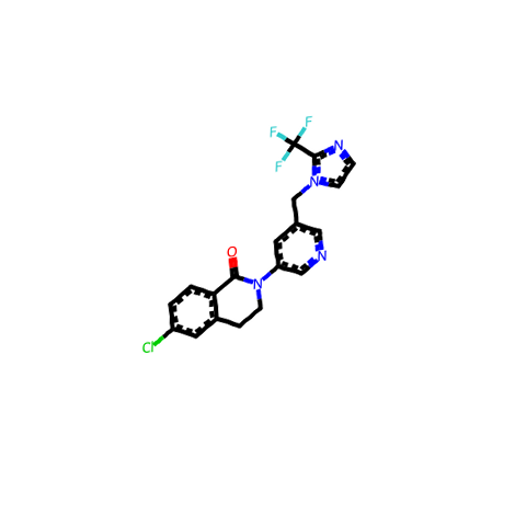 O=C1c2ccc(Cl)cc2CCN1c1cncc(Cn2ccnc2C(F)(F)F)c1